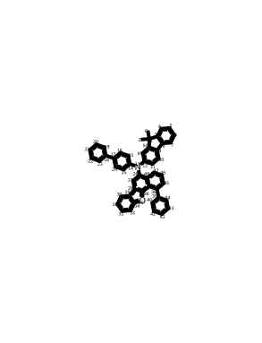 CC1(C)c2ccccc2-c2ccc(N(c3ccc(-c4ccccc4)cc3)c3cc4c5ccccc5oc4c4c(-c5ccccc5)cccc34)cc21